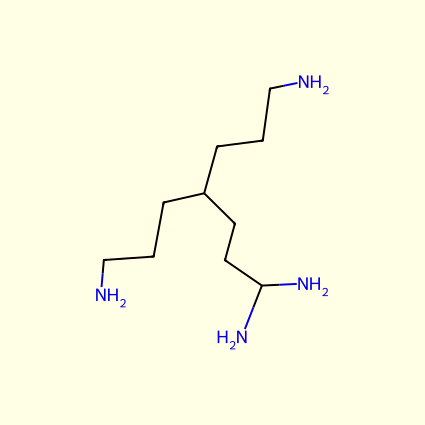 NCCCC(CCCN)CCC(N)N